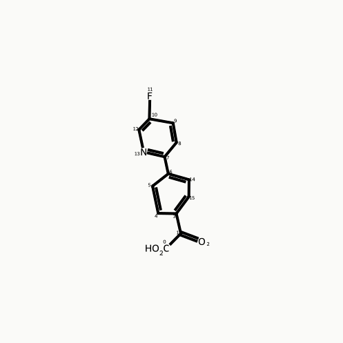 O=C(O)C(=O)c1ccc(-c2ccc(F)cn2)cc1